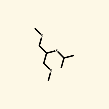 CSCC(CSC)SC(C)C